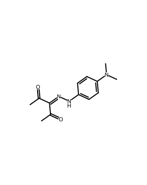 CC(=O)C(=NNc1ccc(N(C)C)cc1)C(C)=O